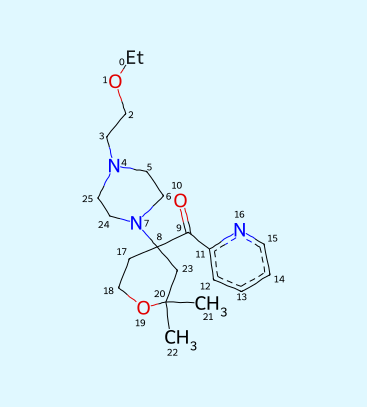 CCOCCN1CCN(C2(C(=O)c3ccccn3)CCOC(C)(C)C2)CC1